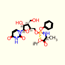 CC(C)OC(=O)[C@@H](C)NP(=S)(OC[C@H]1O[C@@H](n2ccc(=O)[nH]c2=O)[C@H](O)[C@@H]1CO)Oc1ccccc1